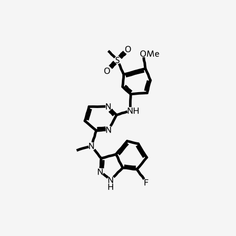 COc1ccc(Nc2nccc(N(C)c3n[nH]c4c(F)cccc34)n2)cc1S(C)(=O)=O